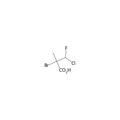 CC(Br)(C(=O)O)C(F)Cl